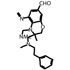 C=Nc1cc(C=O)cc2c1N(CNC)C(C)(CN(C)CCc1ccccc1)CO2